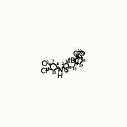 CC(C)(C)c1cc(Nc2ccc(Cl)c(Cl)c2)sc1Cc1ccc2c(c1)OCO2